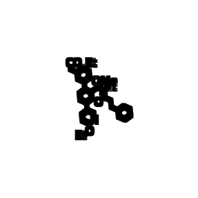 CCOC(=O)Cc1ccc(OC)c(-c2ccc(-c3ccc(OCC)nc3)cc2CN(CC)C(=O)CCc2ccccc2)c1